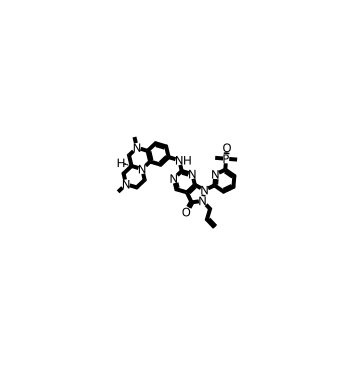 C=CCn1c(=O)c2cnc(Nc3ccc4c(c3)N3CCN(C)C[C@H]3CN4C)nc2n1-c1cccc(P(C)(C)=O)n1